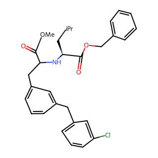 COC(=O)C(Cc1cccc(Cc2cccc(Cl)c2)c1)N[C@@H](CC(C)C)C(=O)OCc1ccccc1